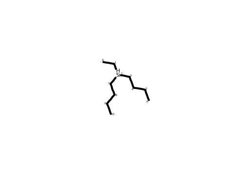 [CH2]C[SiH](CCCC)CCCC